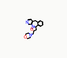 c1ccc2c(c1)Cc1ccncc1N1OC(CN3CCOCC3)CC21